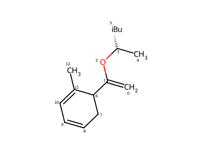 C=C(OC(C)[C@@H](C)CC)C1CC=CC=C1C